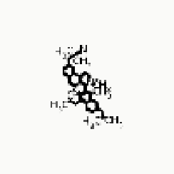 Cc1c2c(c(CC(C)C)c3ccc(CC(C)C)cc13)Sc1cc3ccc(CC(C)(C)C#N)cc3c3cc[n+](C)c-2c13